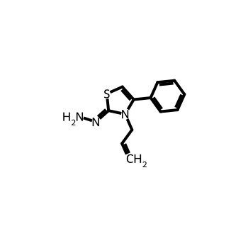 C=CCn1c(-c2ccccc2)csc1=NN